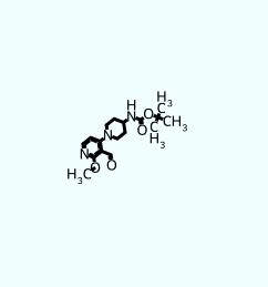 COc1nccc(N2CCC(NC(=O)OC(C)(C)C)CC2)c1C=O